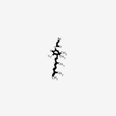 C/C=C(C)/C=C/C=C(C)/C=C/C1=C(C)C(=O)C(OC(=O)CCC(C)=O)CC1(C)C